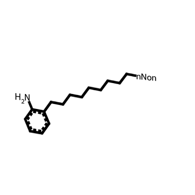 CCCCCCCCCCCCCCCCCCc1ccccc1N